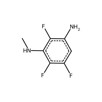 CNc1c(F)c(N)cc(F)c1F